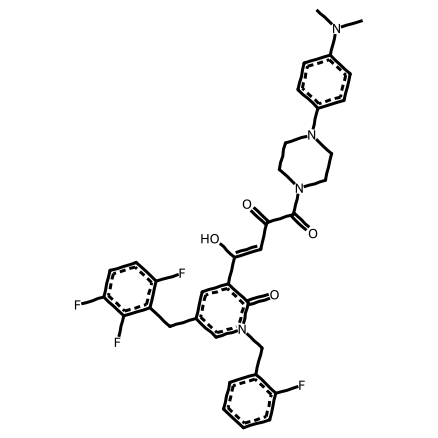 CN(C)c1ccc(N2CCN(C(=O)C(=O)C=C(O)c3cc(Cc4c(F)ccc(F)c4F)cn(Cc4ccccc4F)c3=O)CC2)cc1